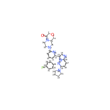 O=C1COCC2CN(c3cccc(-c4cnc5ccc(N6CCC[C@@H]6c6cccc(F)c6)nn45)n3)CCN12